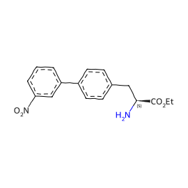 CCOC(=O)[C@@H](N)Cc1ccc(-c2cccc([N+](=O)[O-])c2)cc1